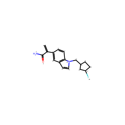 C=C(C(N)=O)c1ccc2c(ccn2CC2CCC(F)C2)c1